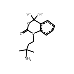 CCCC1(CCC)OC(=O)N(CCC(C)(C)N)c2ccccc21